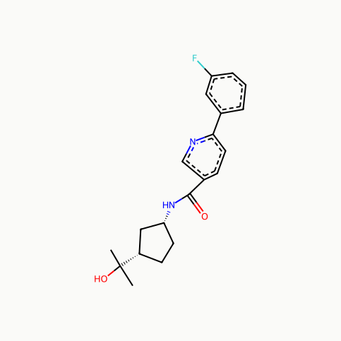 CC(C)(O)[C@H]1CC[C@@H](NC(=O)c2ccc(-c3cccc(F)c3)nc2)C1